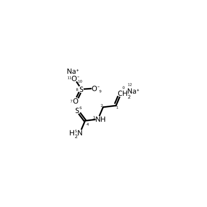 C=CCNC(N)=S.O=S([O-])[O-].[Na+].[Na+]